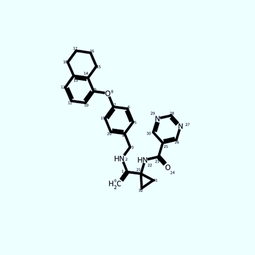 C=C(NCc1ccc(Oc2cccc3c2CCCC3)cc1)C1(NC(=O)c2cncnc2)CC1